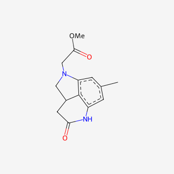 COC(=O)CN1CC2CC(=O)Nc3cc(C)cc1c32